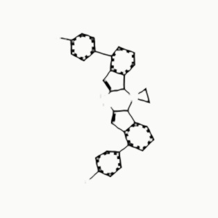 CC(C)C1=Cc2c(-c3ccc(C(C)(C)C)cc3)cccc2[CH]1[Zr+2]1([CH]2C(C(C)C)=Cc3c(-c4ccc(C(C)(C)C)cc4)cccc32)[CH2][CH2]1.[Cl-].[Cl-]